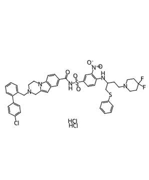 Cl.Cl.O=C(NS(=O)(=O)c1ccc(NC(CCN2CCC(F)(F)CC2)CSc2ccccc2)c([N+](=O)[O-])c1)c1ccc2c(c1)cc1n2CCN(Cc2ccccc2-c2ccc(Cl)cc2)C1